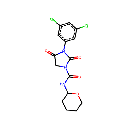 O=C(NC1CCCCO1)N1CC(=O)N(c2cc(Cl)cc(Cl)c2)C1=O